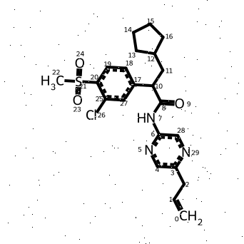 C=CCc1cnc(NC(=O)C(CC2CCCC2)c2ccc(S(C)(=O)=O)c(Cl)c2)cn1